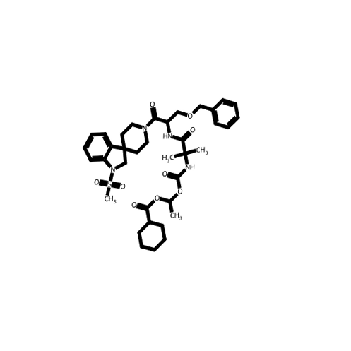 CC(OC(=O)NC(C)(C)C(=O)NC(COCc1ccccc1)C(=O)N1CCC2(CC1)CN(S(C)(=O)=O)c1ccccc12)OC(=O)C1CCCCC1